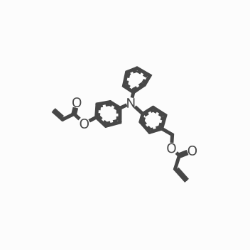 C=CC(=O)OCc1ccc(N(c2ccccc2)c2ccc(OC(=O)C=C)cc2)cc1